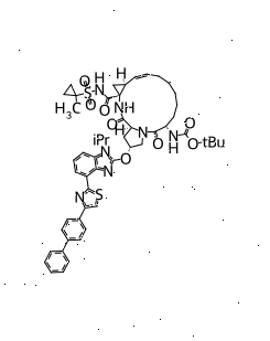 CC(C)n1c(O[C@@H]2C[C@H]3C(=O)N[C@]4(C(=O)NS(=O)(=O)C5(C)CC5)C[C@H]4/C=C\CCCCC[C@H](NC(=O)OC(C)(C)C)C(=O)N3C2)nc2c(-c3nc(-c4ccc(-c5ccccc5)cc4)cs3)cccc21